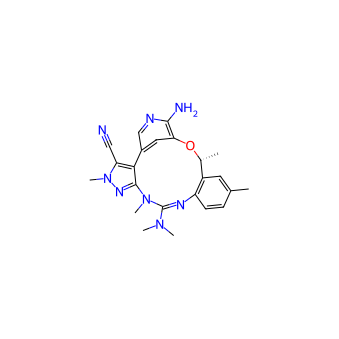 Cc1ccc2c(c1)[C@@H](C)Oc1cc(cnc1N)-c1c(nn(C)c1C#N)N(C)/C(N(C)C)=N\2